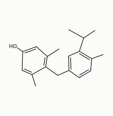 Cc1ccc(Cc2c(C)cc(O)cc2C)cc1C(C)C